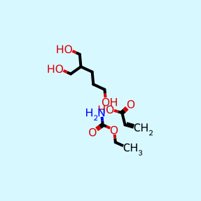 C=CC(=O)O.CCOC(N)=O.OCCCC(CO)CO